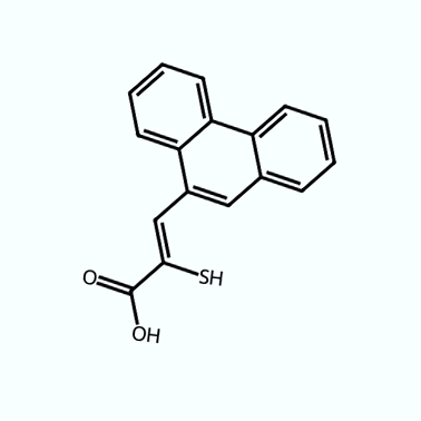 O=C(O)/C(S)=C/c1cc2ccccc2c2ccccc12